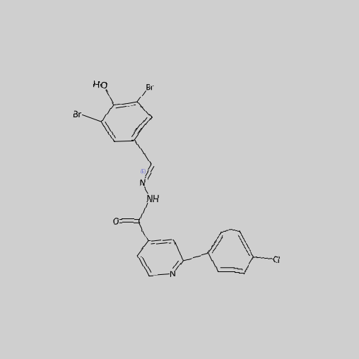 O=C(N/N=C/c1cc(Br)c(O)c(Br)c1)c1ccnc(-c2ccc(Cl)cc2)c1